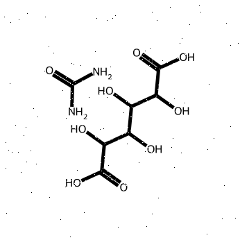 NC(N)=O.O=C(O)C(O)C(O)C(O)C(O)C(=O)O